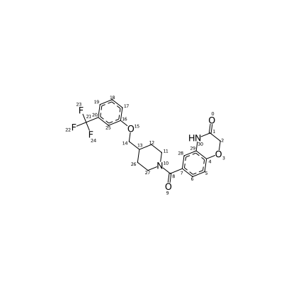 O=C1COc2ccc(C(=O)N3CCC(COc4cccc(C(F)(F)F)c4)CC3)cc2N1